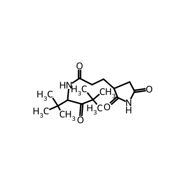 CC(C)(C)C(=O)C(NC(=O)CCC1CC(=O)NC1=O)C(C)(C)C